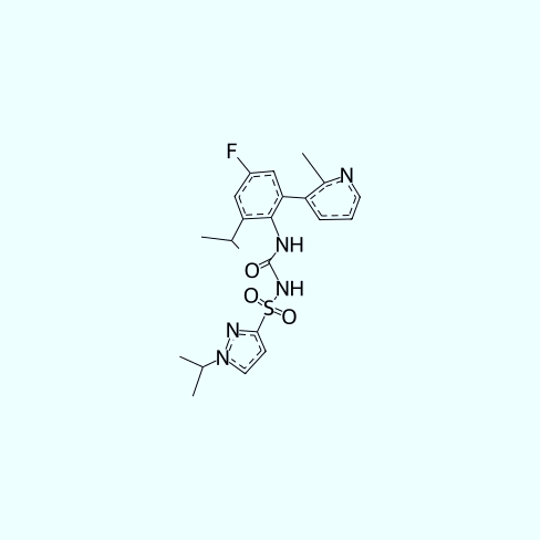 Cc1ncccc1-c1cc(F)cc(C(C)C)c1NC(=O)NS(=O)(=O)c1ccn(C(C)C)n1